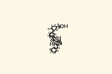 Cc1ccc(C(C)(C)O)cc1-c1ccnc(NC(=O)c2nnc(Cc3ccccc3)[nH]2)c1